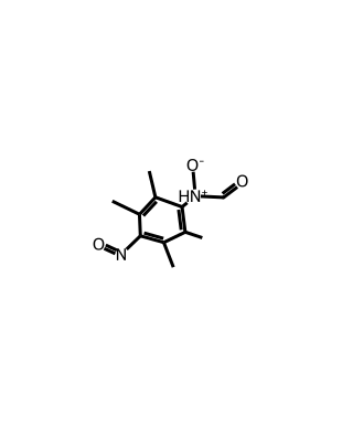 Cc1c(C)c([NH+]([O-])C=O)c(C)c(C)c1N=O